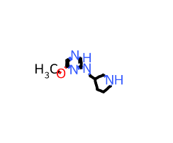 COc1cncc(NCC2CCCNC2)n1